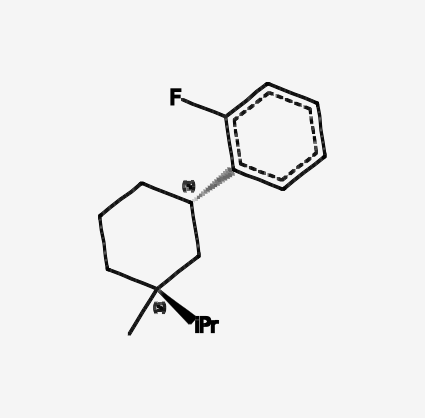 CC(C)[C@@]1(C)CCC[C@H](c2ccccc2F)C1